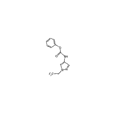 O=C(Nc1cnn(CC(F)(F)F)c1)Oc1ccccc1